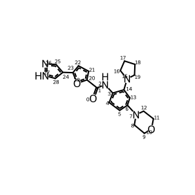 O=C(Nc1ccc(N2CCOCC2)cc1N1CCCC1)c1ccc(-c2cn[nH]c2)o1